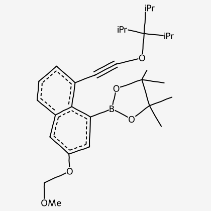 COCOc1cc(B2OC(C)(C)C(C)(C)O2)c2c(C#COC(C(C)C)(C(C)C)C(C)C)cccc2c1